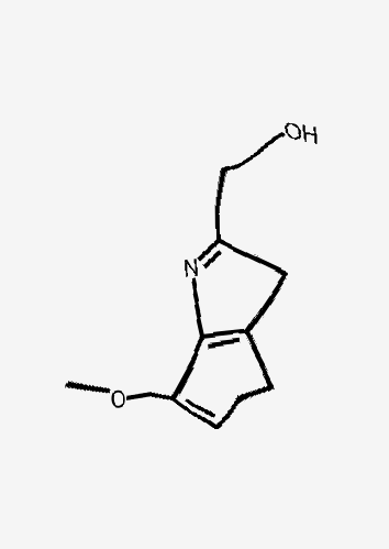 COC1=CCC2=C1N=C(CO)C2